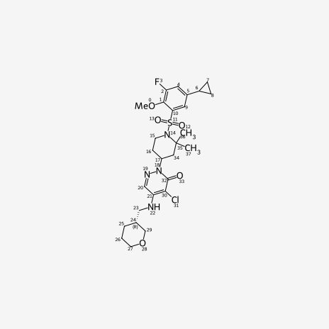 COc1c(F)cc(C2CC2)cc1S(=O)(=O)N1CCC(n2ncc(NC[C@H]3CCCOC3)c(Cl)c2=O)CC1(C)C